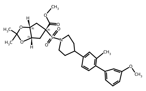 COC(=O)[C@@]1(S(=O)(=O)N2CCC(c3ccc(-c4cccc(OC)c4)c(C)c3)CC2)C[C@@H]2OC(C)(C)O[C@@H]2C1